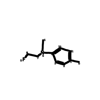 Cc1ccc(N(C)CCF)cc1